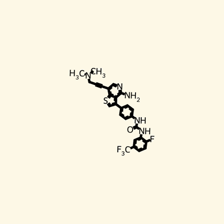 CN(C)CC#Cc1cnc(N)c2c(-c3ccc(NC(=O)Nc4cc(C(F)(F)F)ccc4F)cc3)csc12